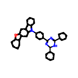 c1ccc(C2=NC(c3ccc(-n4c5ccccc5c5cc6oc7ccccc7c6cc54)cc3)=NC(c3ccccc3)N2)cc1